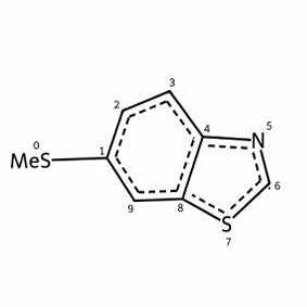 CSc1ccc2n[c]sc2c1